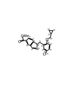 COC(=O)c1ccc2c(cnn2Cc2cc(Cl)ccc2OCC2CC2)c1